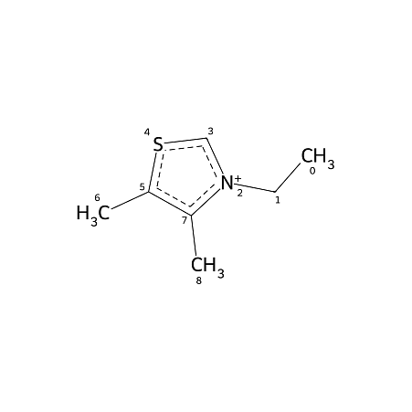 CC[n+]1csc(C)c1C